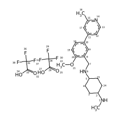 CNC1CCC(NCc2cc(-c3ccnc(C)c3)ccc2OC)CC1.O=C(O)C(F)(F)F.O=C(O)C(F)(F)F